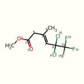 COC(=O)CC(C)=CC(Cl)(Cl)C(F)(F)F